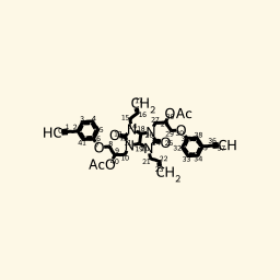 C#Cc1cccc(OCC(CN2C(=O)N(CC=C)C3C2N(CC=C)C(=O)N3CC(COc2cccc(C#C)c2)OC(C)=O)OC(C)=O)c1